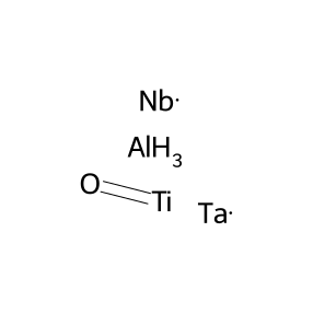 [AlH3].[Nb].[O]=[Ti].[Ta]